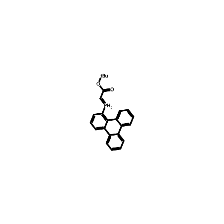 CC(C)(C)OC(=O)/C=[PH2]/c1cccc2c3ccccc3c3ccccc3c12